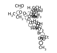 C=C1[C@H](C)C[C@H](CCC=O)O[C@@H]1C[C@@H]1O[C@H](C[C@@H](CO[Si](C)(C)C(C)(C)C)O[Si](C)(C)C(C)(C)C)[C@H](OC)[C@H]1CC(=O)C[C@H]1CC[C@@H]2O[C@@H]3[C@H]4O[C@@H]5C[C@@](C=C(Br)CC(CC)OS(=O)(=O)c6ccc(C)cc6)(O[C@H]4[C@H]2O1)O[C@H]35